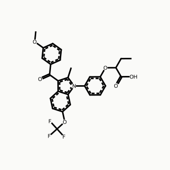 CCC(Oc1cccc(-n2c(C)c(C(=O)c3cccc(OC)c3)c3ccc(OC(F)(F)F)cc32)c1)C(=O)O